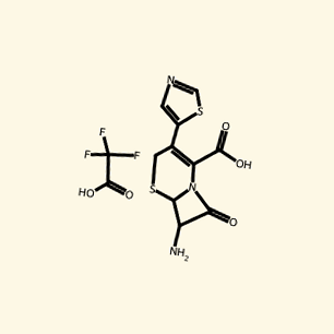 NC1C(=O)N2C(C(=O)O)=C(c3cncs3)CSC12.O=C(O)C(F)(F)F